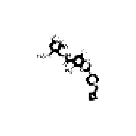 CSc1cc(C)[nH]c(=O)c1CNC(=O)c1cc(Cl)c2c(c1C)O[C@@H](C1CCN(CC3CCC3)CC1)CO2